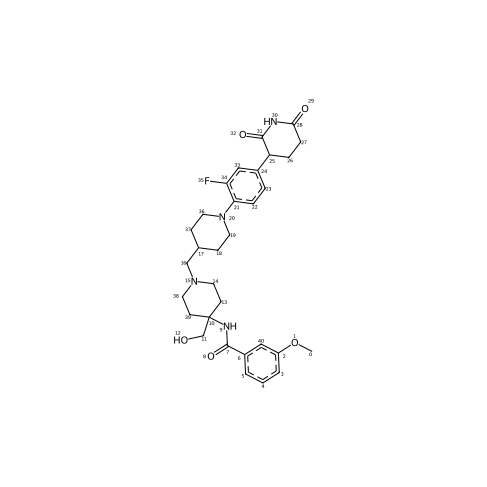 COc1cccc(C(=O)NC2(CO)CCN(CC3CCN(c4ccc(C5CCC(=O)NC5=O)cc4F)CC3)CC2)c1